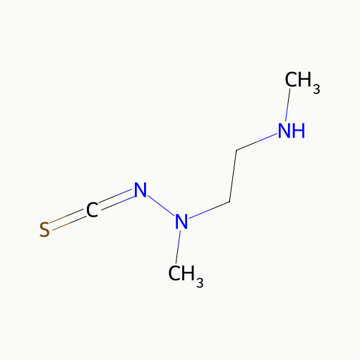 CNCCN(C)N=C=S